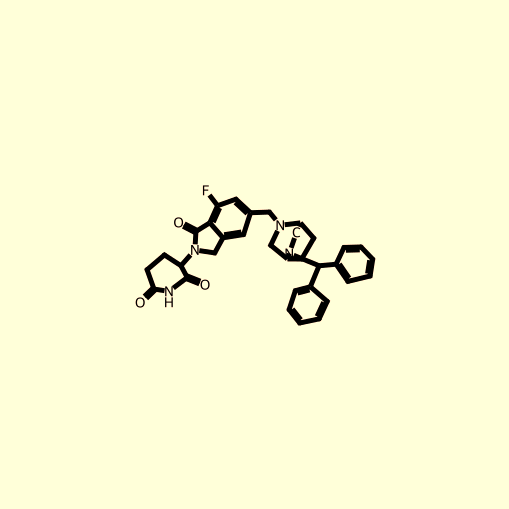 O=C1CCC(N2Cc3cc(CN4CC5CCC4CN5C(c4ccccc4)c4ccccc4)cc(F)c3C2=O)C(=O)N1